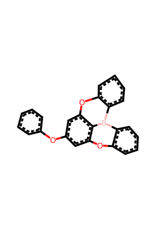 c1ccc(Oc2cc3c4c(c2)Oc2ccccc2B4c2ccccc2O3)cc1